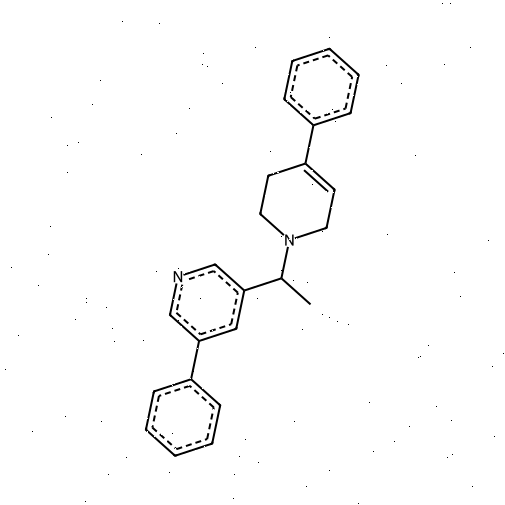 CC(c1cncc(-c2ccccc2)c1)N1CC=C(c2ccccc2)CC1